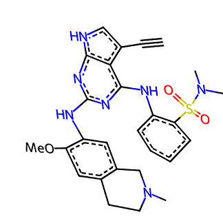 C#Cc1c[nH]c2nc(Nc3cc4c(cc3OC)CCN(C)C4)nc(Nc3ccccc3S(=O)(=O)N(C)C)c12